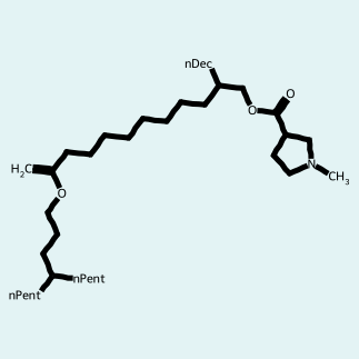 C=C(CCCCCCCCC(CCCCCCCCCC)COC(=O)C1CCN(C)C1)OCCCC(CCCCC)CCCCC